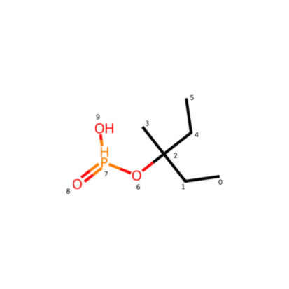 CCC(C)(CC)O[PH](=O)O